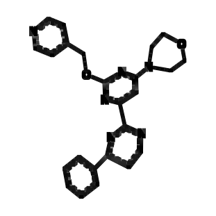 c1ccc(-c2ccnc(-c3cc(N4CCOCC4)nc(OCc4ccncc4)n3)n2)cc1